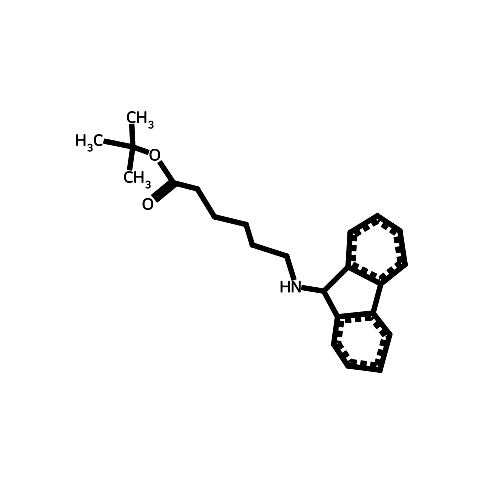 CC(C)(C)OC(=O)CCCCCNC1c2ccccc2-c2ccccc21